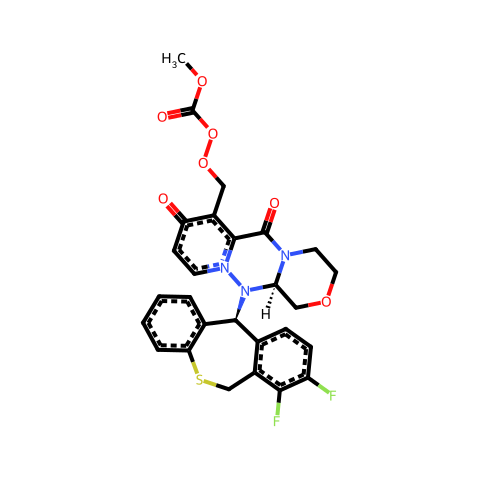 COC(=O)OOCc1c2n(ccc1=O)N([C@@H]1c3ccccc3SCc3c1ccc(F)c3F)[C@@H]1COCCN1C2=O